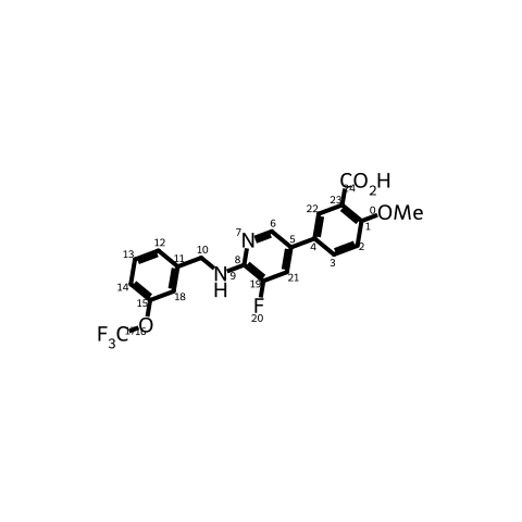 COc1ccc(-c2cnc(NCc3cccc(OC(F)(F)F)c3)c(F)c2)cc1C(=O)O